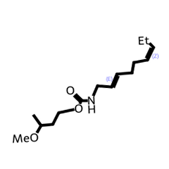 CC/C=C\CC/C=C/CNC(=O)OCCC(C)OC